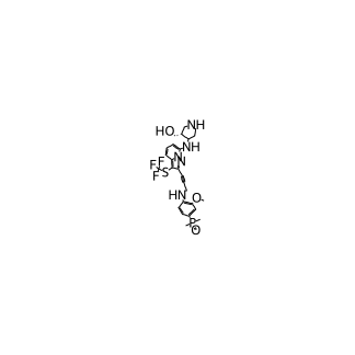 COc1cc(P(C)(C)=O)ccc1NCC#Cc1nn2c(N[C@@H]3CCNC[C@H]3CO)cccc2c1SC(F)(F)F